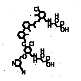 C=c1c(Cl)ccc(CNC[C@@H](O)CC(=O)O)/c1=C/C=C(\C)c1cccc(-c2cccc(COc3cc(OCc4cncc(C#N)c4)c(CNC[C@@H](O)CC(=O)O)cc3Cl)c2C)c1C